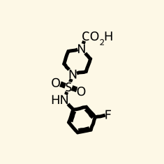 O=C(O)N1CCN(S(=O)(=O)Nc2cccc(F)c2)CC1